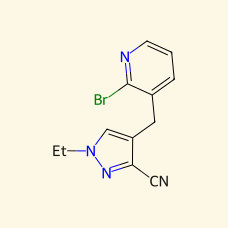 CCn1cc(Cc2cccnc2Br)c(C#N)n1